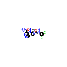 NC(=O)c1cnc2[nH]ccc2c1N[C@H]1CCCN(C(=O)CNc2cc(Cl)cc(Cl)c2)[C@H]1C(F)(F)F